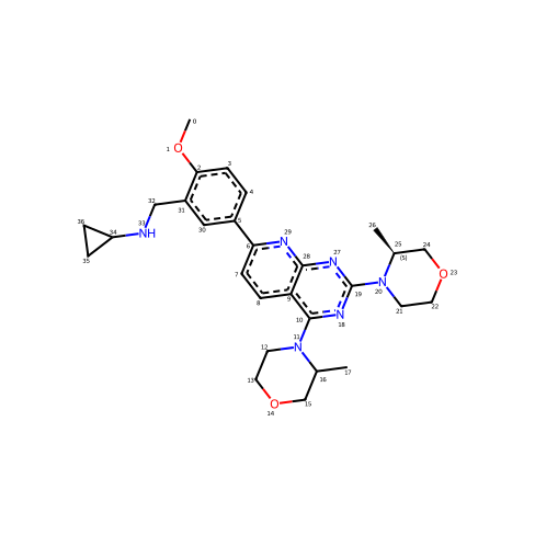 COc1ccc(-c2ccc3c(N4CCOCC4C)nc(N4CCOC[C@@H]4C)nc3n2)cc1CNC1CC1